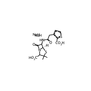 CC1(C)S[C@@H]2C(NC(=O)Cc3ccsc3C(=O)O)C(=O)N2C1C(=O)O.[NaH].[NaH]